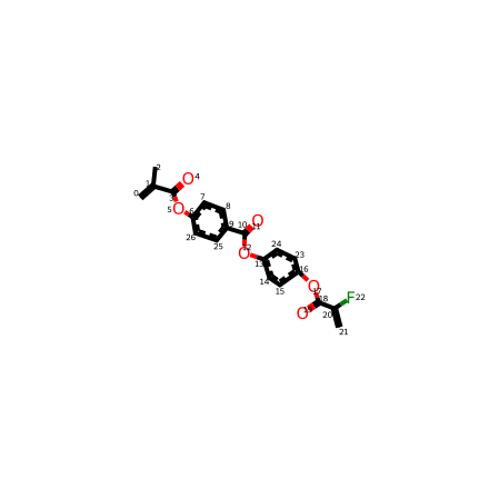 C=C(C)C(=O)Oc1ccc(C(=O)Oc2ccc(OC(=O)C(=C)F)cc2)cc1